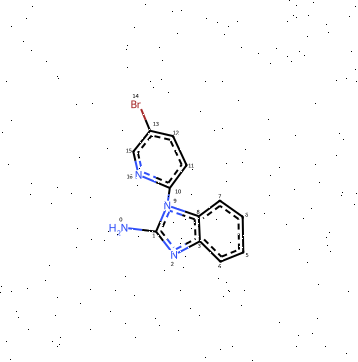 Nc1nc2ccccc2n1-c1ccc(Br)cn1